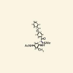 CS/C(=C\C(=O)c1ccc(OCc2ccccc2)cc1)Nc1ccc(NC(C)=O)cc1C